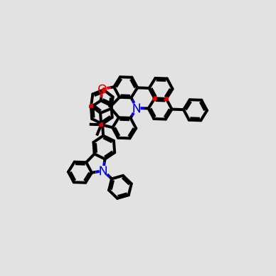 CC1(C)c2ccccc2-c2c(N(c3ccc(-c4ccccc4)cc3)c3c(-c4ccccc4)ccc4oc5ccc(-c6ccc7c(c6)c6ccccc6n7-c6ccccc6)cc5c34)cccc21